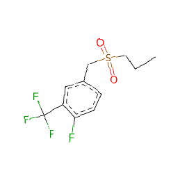 CCCS(=O)(=O)Cc1ccc(F)c(C(F)(F)F)c1